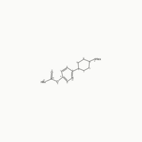 CCCCCCC1CCC(c2ccc(OC(=O)CCCC)cn2)CC1